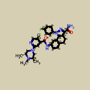 C[C@@H]1CN(c2cc(C(=O)Nc3ccc4c(c3)-c3c(c(C(N)=O)nn3-c3ccc(F)cc3)CC4)c(Cl)cn2)C[C@H](C)N1C